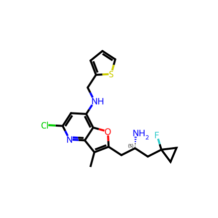 Cc1c(C[C@H](N)CC2(F)CC2)oc2c(NCc3cccs3)cc(Cl)nc12